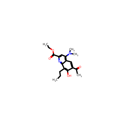 CCCc1c(O)c(C(C)=O)cc2c(N(C)C)cc(C(=O)OCC)nc12